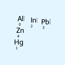 [Al].[Hg].[In].[Pb].[Zn]